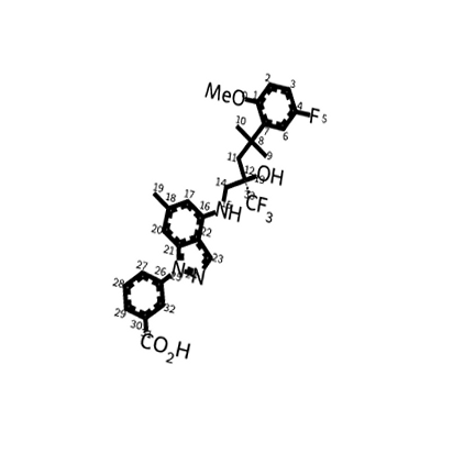 COc1ccc(F)cc1C(C)(C)C[C@@](O)(CNc1cc(C)cc2c1cnn2-c1cccc(C(=O)O)c1)C(F)(F)F